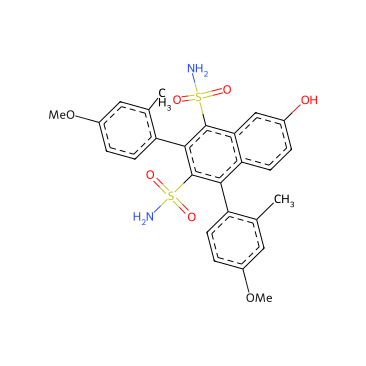 COc1ccc(-c2c(S(N)(=O)=O)c(-c3ccc(OC)cc3C)c3ccc(O)cc3c2S(N)(=O)=O)c(C)c1